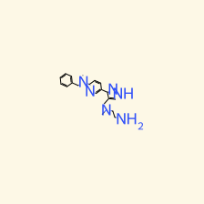 CN(CCN)Cc1c[nH]nc1-c1ccc(N(C)Cc2ccccc2)nc1